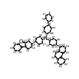 c1ccc(-c2ccc(N(c3ccc(-c4ccc5c(c4)oc4ccccc45)cc3)c3ccc(-c4cccc5c4ccc4ccccc45)cc3)cc2)cc1